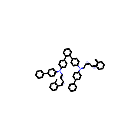 C=c1cccc/c1=C/C=C\CN(c1ccc(-c2ccccc2)cc1)c1ccc(-c2ccccc2-c2ccc(N(/C=C/C=C\c3ccccc3C)c3ccc(-c4ccccc4)cc3)cc2)cc1